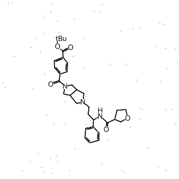 CC(C)(C)OC(=O)c1ccc(C(=O)N2CC3CN(CCC(NC(=O)C4CCOC4)c4ccccc4)CC3C2)cc1